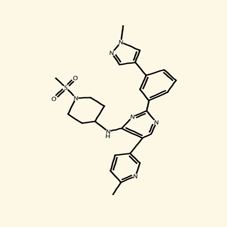 Cc1ccc(-c2cnc(-c3cccc(-c4cnn(C)c4)c3)nc2NC2CCN(S(C)(=O)=O)CC2)cn1